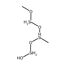 CO[SiH2]O[SiH](C)O[SiH2]O